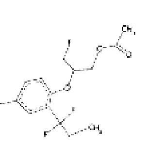 CCC(F)(F)c1cc(Br)ccc1OC(CF)COC(C)=O